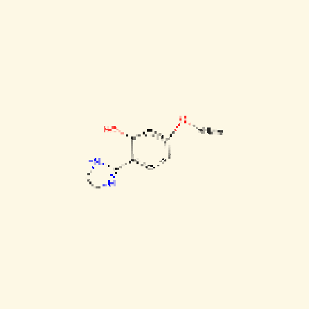 CCCCCCOc1ccc(C2=NCCN2)c(O)c1